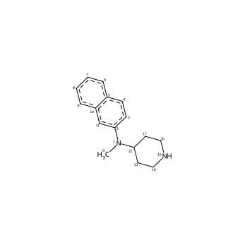 CN(c1ccc2ccccc2c1)C1CCNCC1